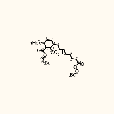 CCCCCCC1C=CC(CCCCCCCC(=O)OOC(C)(C)C)C(C(=O)O)C1C(=O)OOC(C)(C)C